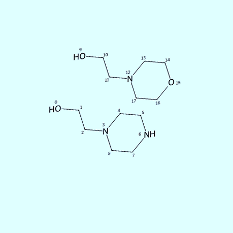 OCCN1CCNCC1.OCCN1CCOCC1